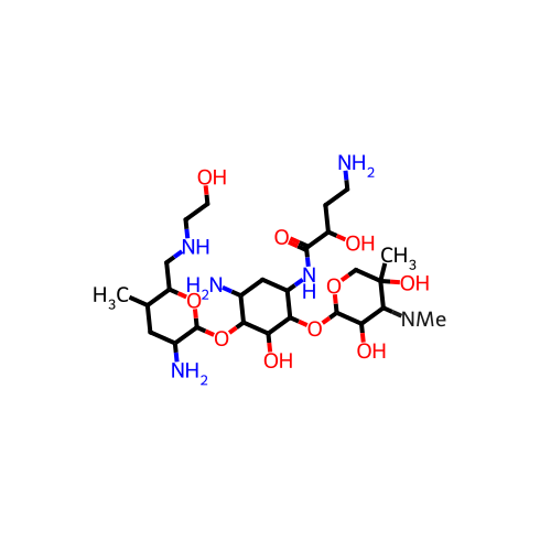 CNC1C(O)C(OC2C(NC(=O)C(O)CCN)CC(N)C(OC3OC(CNCCO)C(C)CC3N)C2O)OCC1(C)O